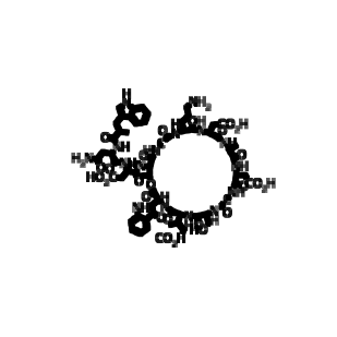 CC(Cc1c[nH]c2ccccc12)C(=O)NC(CC(N)=O)C(=O)NC(CC(=O)O)C(=O)NC1C(=O)NCC(=O)NC(CCCN)C(=O)NC(CC(=O)O)C(=O)NC(C)C(=O)NC(CC(=O)O)C(=O)NCC(=O)NC(CO)C(=O)NC(C(C)CC(=O)O)C(=O)NC(CC(=O)c2ccccc2N)C(=O)OC1C